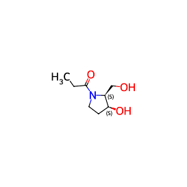 CCC(=O)N1CC[C@H](O)[C@@H]1CO